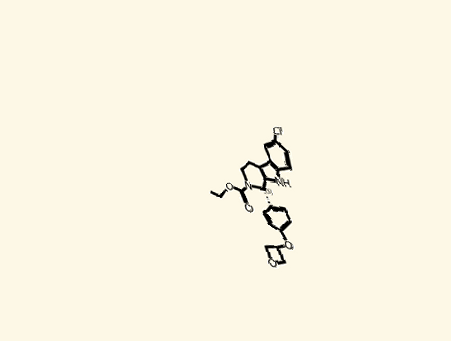 CCOC(=O)N1CCc2c([nH]c3ccc(Cl)cc23)[C@@H]1c1ccc(OC2COC2)cc1